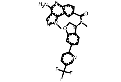 CN(C(=O)c1ccc2nc(N)c3cnn(C)c3c2c1)[C@@H]1COc2cc(-c3ccc(C(F)(F)F)cn3)ccc21